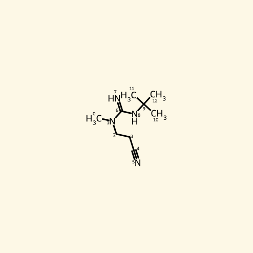 CN(CCC#N)C(=N)NC(C)(C)C